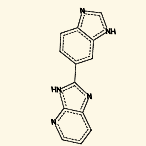 c1cnc2[nH]c(-c3ccc4nc[nH]c4c3)nc2c1